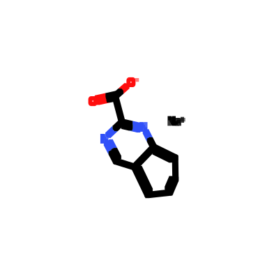 O=C([O-])c1ncc2ccccc2n1.[Na+]